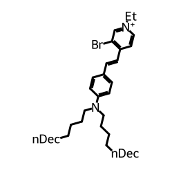 CCCCCCCCCCCCCCN(CCCCCCCCCCCCCC)c1ccc(/C=C/c2cc[n+](CC)cc2Br)cc1